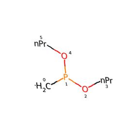 [CH2]P(OCCC)OCCC